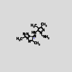 CC1=Nn2c(C)nnc2/C1=N\Nc1c(C)c(C)nn1CN